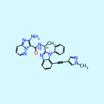 C[C@H](NC(=O)c1c(N)nc2cccnn12)c1nc2cccc(C#Cc3cnn(C)c3)c2n1-c1ccccc1